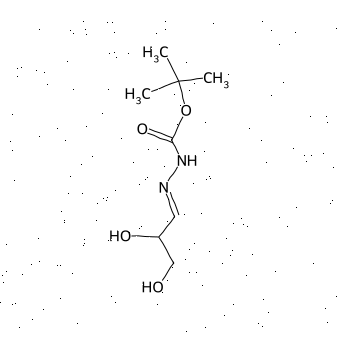 CC(C)(C)OC(=O)NN=CC(O)CO